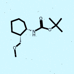 COC[C@@H]1CCCC[C@@H]1NC(=O)OC(C)(C)C